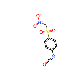 O=C=Nc1ccc(S(=O)(=O)C[N+](=O)[O-])cc1